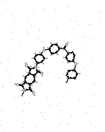 Cc1ccc(Oc2ccc(C(=O)c3ccc(Oc4ccc(-n5c(=O)c6cc7c(=O)n(C)c(=O)c7cc6c5=O)cc4)cc3)cc2)cc1